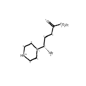 CCC[C@@H](CCC(=O)C(=O)OCC)N1CCNCC1